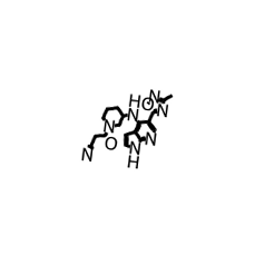 Cc1noc(-c2cnc3[nH]ccc3c2NC2CCCN(C(=O)CC#N)C2)n1